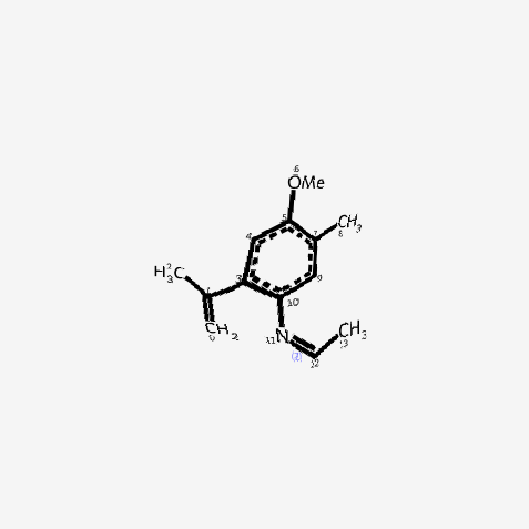 C=C(C)c1cc(OC)c(C)cc1/N=C\C